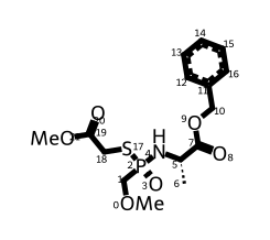 COCP(=O)(N[C@@H](C)C(=O)OCc1ccccc1)SCC(=O)OC